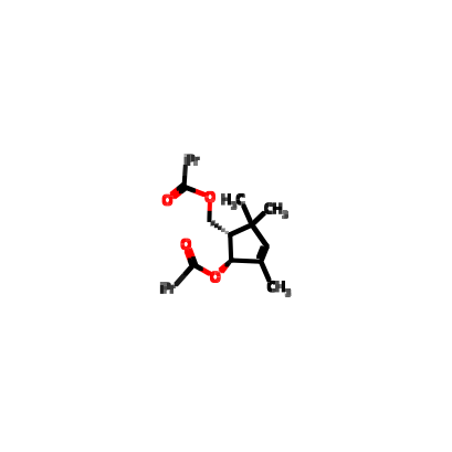 CC1=CC(C)(C)[C@@H](COC(=O)C(C)C)[C@@H]1OC(=O)C(C)C